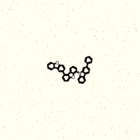 C1=CC2Oc3ccc(-c4cccc5oc6c(-n7c8ccccc8c8ccc(-c9ccccc9)cc87)cccc6c45)cc3C2C=C1